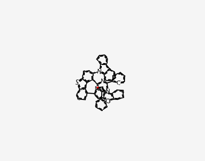 c1ccc(-c2nc(-c3ccccc3)nc(-c3c(-n4c5ccccc5c5ccccc54)ccc4sc5cccc(-c6ccc7c(c6)oc6ccccc67)c5c34)n2)cc1